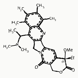 CC[C@@]1(OC)C(=O)OCc2c1cc1n(c2=O)Cc2c-1nc1c(C)c(C)c(C)c(C)c1c2C(C)N(C)C